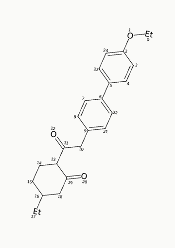 CCOc1ccc(-c2ccc(CC(=O)C3CCC(CC)CC3=O)cc2)cc1